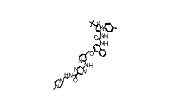 Cc1ccc(-n2nc(C(C)(C)C)cc2NC(=O)Nc2ccc(OCc3ccnc(Nc4cnc(C(=O)NCCN5CCN(C)CC5)cn4)c3)c3ccccc23)cc1